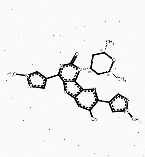 C[C@@H]1C[C@H](n2c(=O)nc(-c3cnn(C)c3)c3oc4cc(C#N)c(-c5cnn(C)c5)nc4c32)C[C@H](C)O1